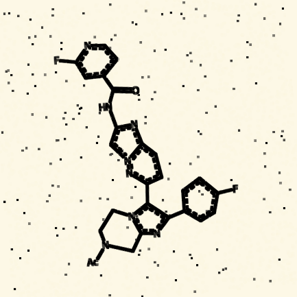 CC(=O)N1CCn2c(nc(-c3ccc(F)cc3)c2-c2ccc3nc(NC(=O)c4ccnc(F)c4)cn3n2)C1